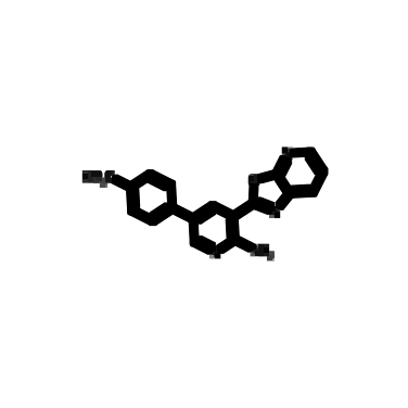 Nc1ncc(-c2ccc(C(=O)O)cc2)cc1-c1nc2cccnc2o1